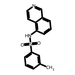 Cc1cccc(S(=O)(=O)Nc2cccc3cnccc23)c1